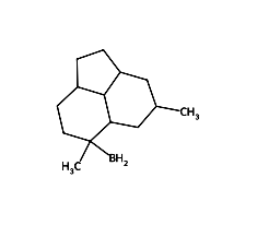 BC1(C)CCC2CCC3CC(C)CC1C23